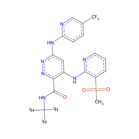 [2H]C([2H])([2H])NC(=O)c1nnc(Nc2ccc(C(F)(F)F)cn2)cc1Nc1ncccc1S(C)(=O)=O